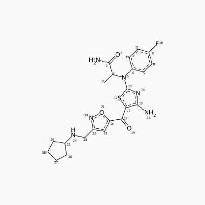 CC(C(N)=O)N(c1ccc(F)cc1)c1nc(N)c(C(=O)c2cc(CNC3CCCC3)no2)s1